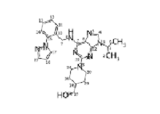 CC(C)n1cnc2c(NCc3ccccc3-n3cccn3)nc(N3CCC(CO)CC3)nc21